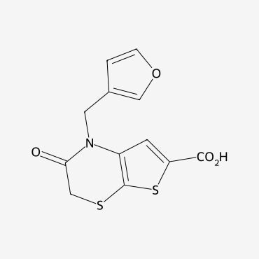 O=C(O)c1cc2c(s1)SCC(=O)N2Cc1ccoc1